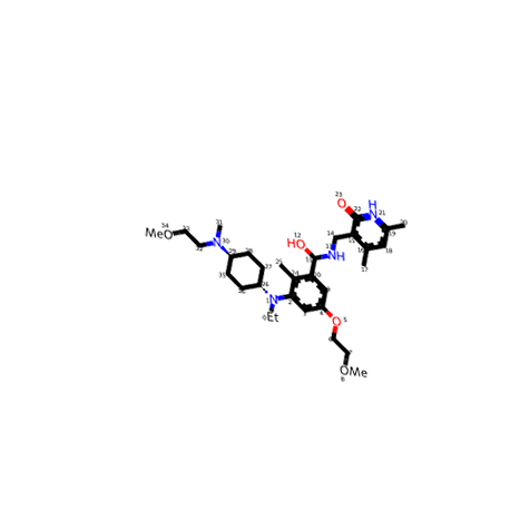 CCN(c1cc(OCCOC)cc(C(O)NCc2c(C)cc(C)[nH]c2=O)c1C)[C@H]1CC[C@H](N(C)CCOC)CC1